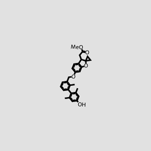 COC(=O)CC1c2ccc(OCc3cccc(-c4c(C)cc(O)cc4C)c3C)cc2OC12CC2